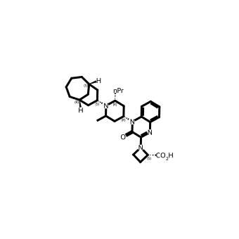 CCC[C@@H]1C[C@H](n2c(=O)c(N3CC[C@H]3C(=O)O)nc3ccccc32)CC(C)N1[C@@H]1C[C@@H]2CCCC[C@@H](C2)C1